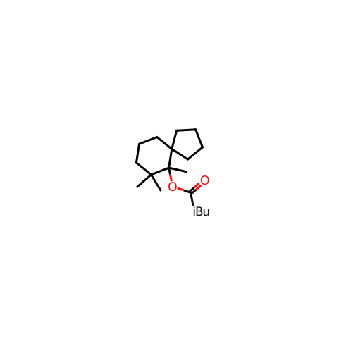 CCC(C)C(=O)OC1(C)C(C)(C)CCCC12CCCC2